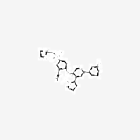 Cn1nccc1-c1cc(-c2cccc(F)c2)ncc1Oc1ccc(S(=O)(=O)Nc2nccs2)cc1C#N